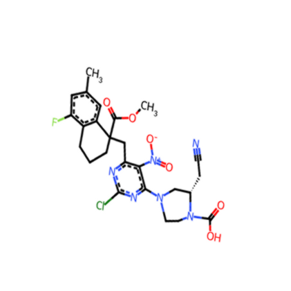 COC(=O)C1(Cc2nc(Cl)nc(N3CCN(C(=O)O)[C@@H](CC#N)C3)c2[N+](=O)[O-])CCCc2c(F)cc(C)cc21